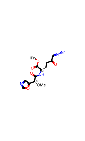 CO[C@@H](C(=O)N[C@@H](CCC(=O)C=[N+]=[N-])C(=O)OC(C)C)c1cnco1